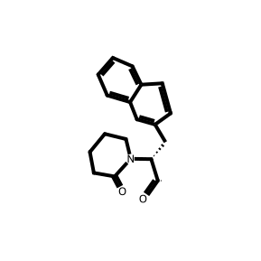 O=[C][C@@H](Cc1ccc2ccccc2c1)N1CCCCC1=O